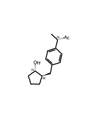 CC(=O)[C@@H](C)c1ccc(C[C@H]2CCC[C@@H]2O)cc1